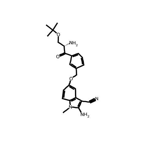 Cn1c(N)c(C#N)c2cc(OCc3cccc(C(=O)[C@@H](N)COC(C)(C)C)c3)ccc21